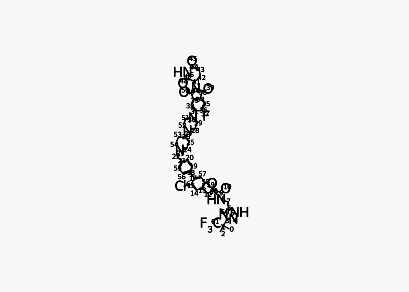 CC(C)(c1n[nH]c(CNC(=O)[C@H]2Cc3cc(Cl)c(-c4ccc(CN5CCC(N6CCN(c7cc8c(cc7F)C(=O)N(C7CCC(=O)NC7=O)C8=O)CC6)CC5)cc4)cc3O2)n1)C(F)(F)F